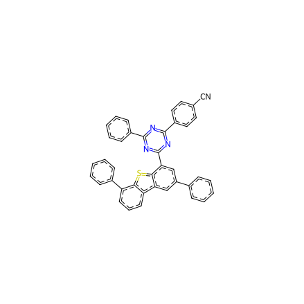 N#Cc1ccc(-c2nc(-c3ccccc3)nc(-c3cc(-c4ccccc4)cc4c3sc3c(-c5ccccc5)cccc34)n2)cc1